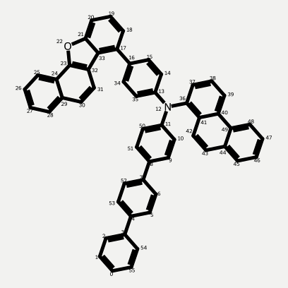 c1ccc(-c2ccc(-c3ccc(N(c4ccc(-c5cccc6oc7c8ccccc8ccc7c56)cc4)c4cccc5c4ccc4ccccc45)cc3)cc2)cc1